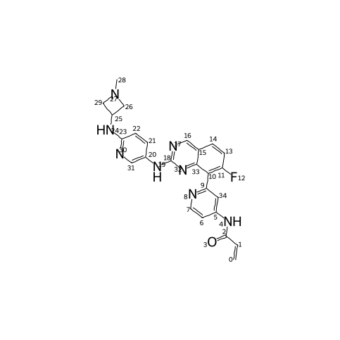 C=CC(=O)Nc1ccnc(-c2c(F)ccc3cnc(Nc4ccc(NC5CN(C)C5)nc4)nc23)c1